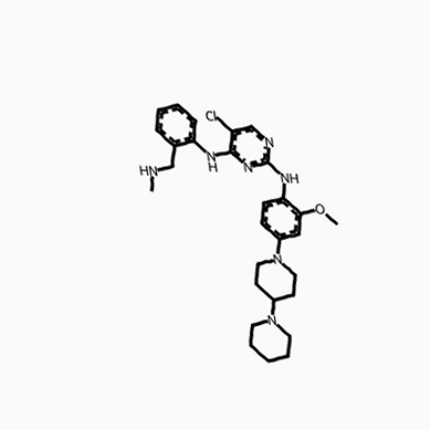 CNCc1ccccc1Nc1nc(Nc2ccc(N3CCC(N4CCCCC4)CC3)cc2OC)ncc1Cl